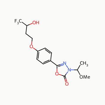 COC(C)n1nc(-c2ccc(OCCC(O)C(F)(F)F)cc2)oc1=O